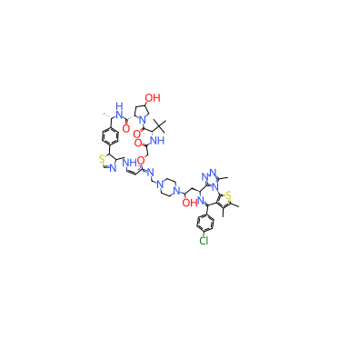 Cc1sc2c(c1C)C(c1ccc(Cl)cc1)=N[C@@H](CC(O)N1CCN(C/N=C(\C=C/N)OCC(=O)N[C@H](C(=O)N3C[C@H](O)C[C@H]3C(=O)N[C@@H](C)c3ccc(C4SC=NC4C)cc3)C(C)(C)C)CC1)c1nnc(C)n1-2